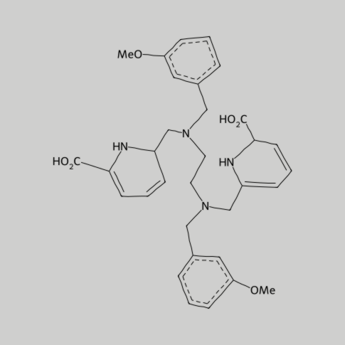 COc1cccc(CN(CCN(Cc2cccc(OC)c2)CC2C=CC=C(C(=O)O)N2)CC2=CC=CC(C(=O)O)N2)c1